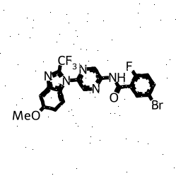 COC1C=c2nc(C(F)(F)F)n(-c3cnc(NC(=O)c4cc(Br)ccc4F)cn3)c2=CC1